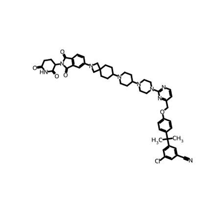 CC(C)(c1ccc(OCc2ccnc(N3CCN(C4CCN(C5CCC6(CC5)CN(c5ccc7c(c5)C(=O)N(C5CCC(=O)NC5=O)C7=O)C6)CC4)CC3)n2)cc1)c1cc(Cl)cc(C#N)c1